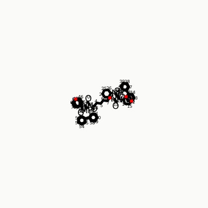 O=C1N(CCCCCCN2C(=O)N(C3CCCCC3)C2(NC2CCCCC2)P2(=O)Oc3ccccc3-c3ccccc32)C2(N(C3CCCCC3)Oc3ccccc3-c3ccccc3[PH]2=O)N1C1CCCCC1